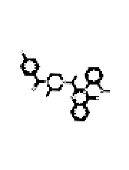 COc1ccccc1-n1c(C(C)N2CCN(C(=O)c3ccc(Br)cc3)C(C)C2)nc2ccccc2c1=O